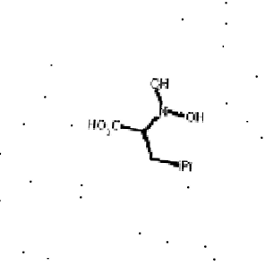 CC(C)C[C@@H](C(=O)O)N(O)O